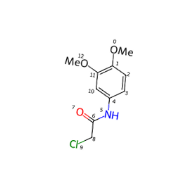 COc1ccc(NC(=O)CCl)cc1OC